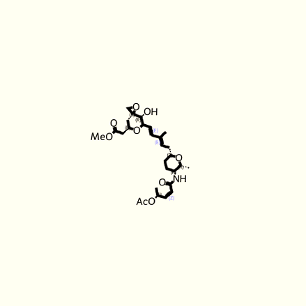 COC(=O)C[C@H]1C[C@@]2(CO2)[C@H](O)C(/C=C/C(C)=C/C[C@H]2CC[C@@H](NC(=O)/C=C\[C@H](C)OC(C)=O)[C@@H](C)O2)O1